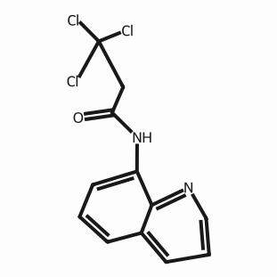 O=C(CC(Cl)(Cl)Cl)Nc1cccc2cccnc12